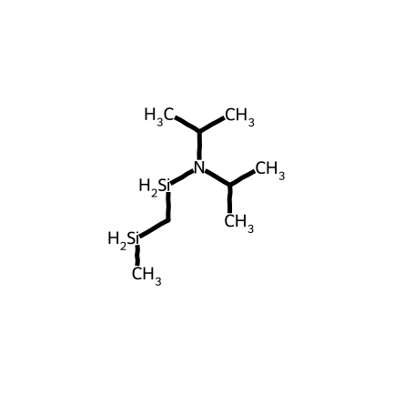 C[SiH2]C[SiH2]N(C(C)C)C(C)C